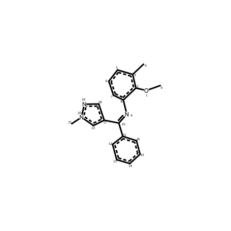 COc1c(C)cccc1N=C(c1ccccc1)c1cnn(C)c1